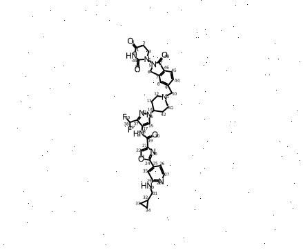 O=C1CCN(N2Cc3cc(CN4CCC(n5cc(NC(=O)c6coc(-c7ccnc(NCC8CC8)c7)n6)c(C(F)F)n5)CC4)ccc3C2=O)C(=O)N1